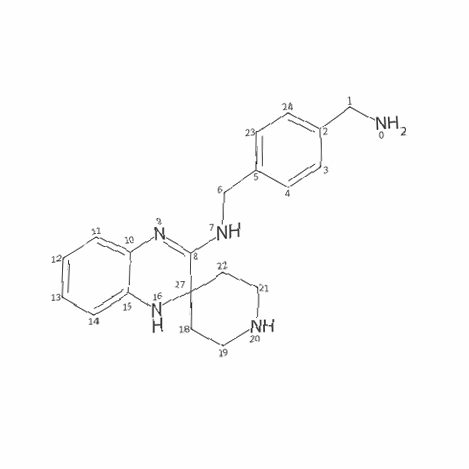 NCc1ccc(CNC2=Nc3ccccc3NC23CCNCC3)cc1